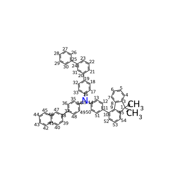 CC1(C)c2ccccc2-c2c(-c3ccc(N(c4ccc(-c5cccc(-c6ccccc6)c5)cc4)c4ccc(-c5ccc6ccccc6c5)cc4)cc3)cccc21